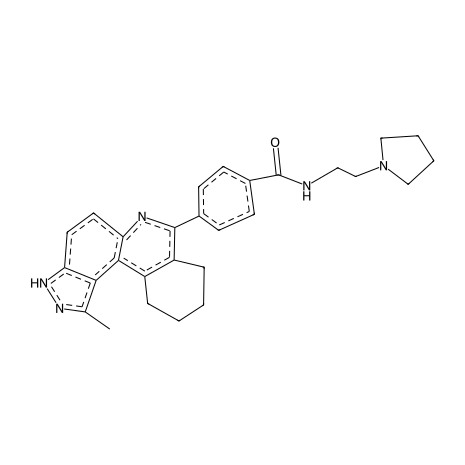 Cc1n[nH]c2ccc3nc(-c4ccc(C(=O)NCCN5CCCC5)cc4)c4c(c3c12)CCCC4